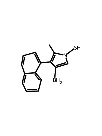 Bc1cn(S)c(C)c1-c1cccc2ccccc12